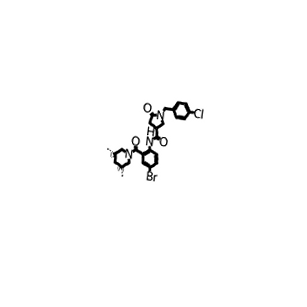 C[C@@H]1C[C@H](C)CN(C(=O)c2cc(Br)ccc2NC(=O)C2CC(=O)N(Cc3ccc(Cl)cc3)C2)C1